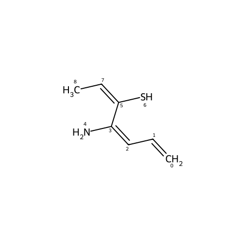 C=C/C=C(N)\C(S)=C/C